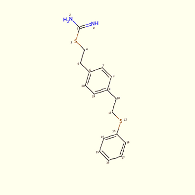 N=C(N)SCCc1ccc(CCSc2ccccc2)cc1